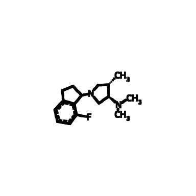 C[C@H]1CN(C2CCc3cccc(F)c32)C[C@@H]1N(C)C